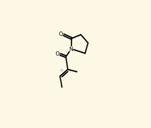 C/C=C(\C)C(=O)N1CCCC1=O